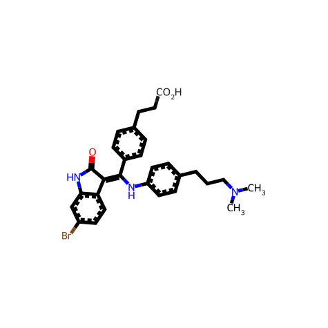 CN(C)CCCc1ccc(NC(=C2C(=O)Nc3cc(Br)ccc32)c2ccc(CCC(=O)O)cc2)cc1